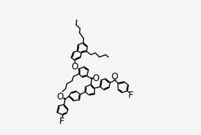 CCCCCc1cc(CCCCC)c2cc(Oc3ccc(C(=O)c4cc(-c5ccc(C(=O)c6ccc(F)cc6)cc5)ccc4-c4ccc(C(=O)c5ccc(F)cc5)cc4)cc3CCCCC)ccc2c1